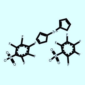 C1=CC[C]([Zr+2][C]2=CC=CC2)=C1.O=S(=O)([O-])c1c(F)c(F)c(F)c(F)c1F.O=S(=O)([O-])c1c(F)c(F)c(F)c(F)c1F